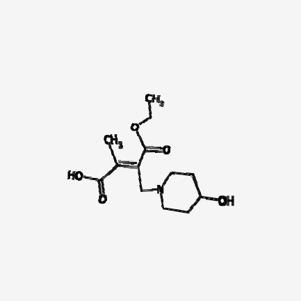 CCOC(=O)C(CN1CCC(O)CC1)=C(C)C(=O)O